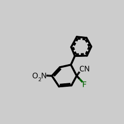 N#CC1(F)C=CC([N+](=O)[O-])=CC1c1ccccc1